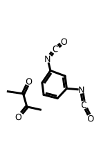 CC(=O)C(C)=O.O=C=Nc1cccc(N=C=O)c1